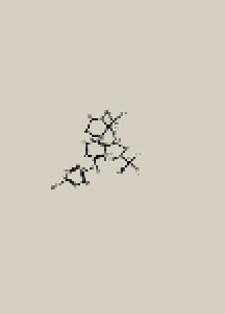 OC(CN(CC1(C(F)(F)F)CCCCC1)c1cccc(Oc2ccc(F)cc2)c1)C(F)(F)F